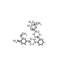 COc1cc(N2CCC(c3ccccc3N3CCC(C(=O)OC(C)(C)C)CC3)CC2)ccc1N